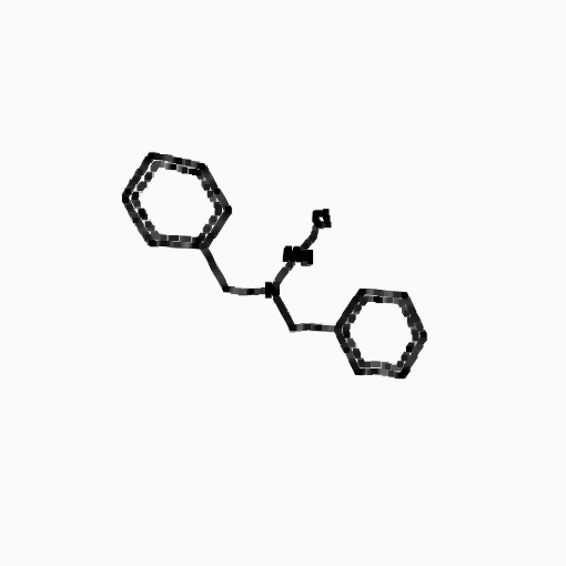 [Cl][Mg][N](Cc1ccccc1)Cc1ccccc1